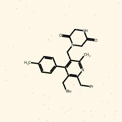 Cc1ccc(-c2c([CH]C(C)(C)C)c(CC(C)C)nc(C)c2CN2CC(=O)NCC2=O)cc1